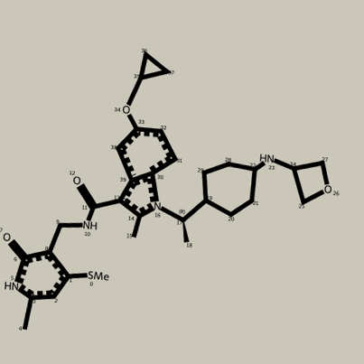 CSc1cc(C)[nH]c(=O)c1CNC(=O)c1c(C)n([C@H](C)C2CCC(NC3COC3)CC2)c2ccc(OC3CC3)cc12